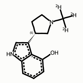 [2H]C([2H])([2H])N1CC[C@@H](c2c[nH]c3cccc(O)c23)C1